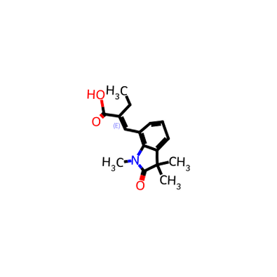 CC/C(=C\c1cccc2c1N(C)C(=O)C2(C)C)C(=O)O